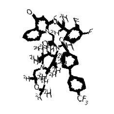 [2H]C([2H])([2H])OC([2H])([2H])CN1C([2H])([2H])C([2H])([2H])C([2H])(N(C(=O)Cn2c(SC([2H])([2H])c3cccc(F)c3F)cc(=O)c3ccccc32)C([2H])(C)c2ccc(-c3ccc(C(F)(F)F)cc3)cc2)C([2H])([2H])C1([2H])[2H]